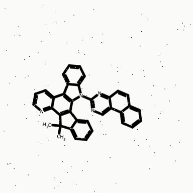 CC1(C)c2ccccc2-c2c1c1ncccc1c1c3ccccc3n(-c3ncc4c(ccc5ccccc54)n3)c21